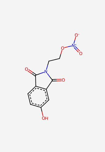 O=C1c2ccc(O)cc2C(=O)N1CCO[N+](=O)[O-]